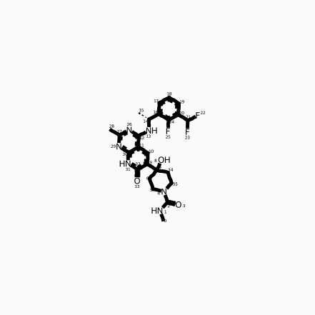 CNC(=O)N1CCC(O)(c2cc3c(N[C@H](C)c4cccc(C(F)F)c4F)nc(C)nc3[nH]c2=O)CC1